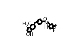 C=C1c2ccc(O)cc2CCC1Cc1ccc(C(=O)NCc2ccc(F)c(F)c2)cc1